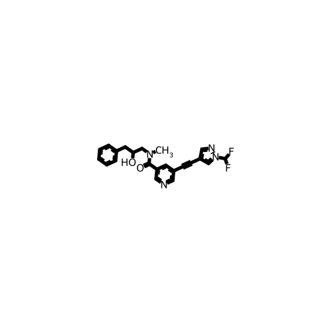 CN(CC(O)Cc1ccccc1)C(=O)c1cncc(C#Cc2cnn(C(F)F)c2)c1